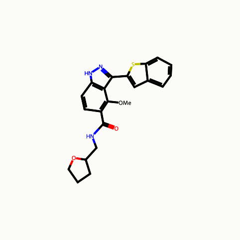 COc1c(C(=O)NCC2CCCO2)ccc2[nH]nc(-c3cc4ccccc4s3)c12